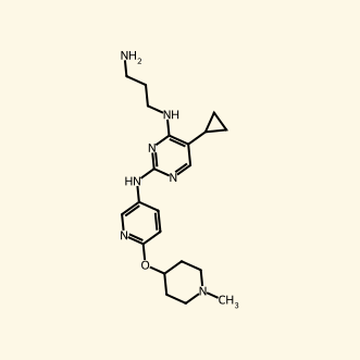 CN1CCC(Oc2ccc(Nc3ncc(C4CC4)c(NCCCN)n3)cn2)CC1